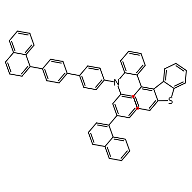 c1cc(-c2cccc3ccccc23)cc(N(c2ccc(-c3ccc(-c4cccc5ccccc45)cc3)cc2)c2ccccc2-c2cccc3sc4ccccc4c23)c1